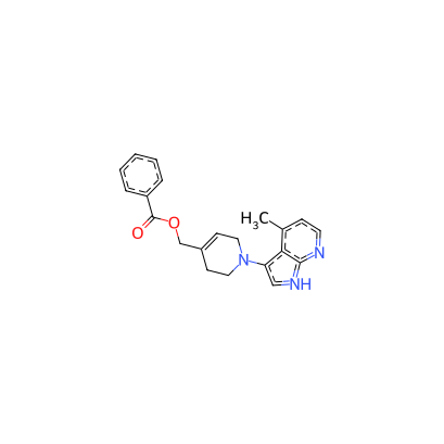 Cc1ccnc2[nH]cc(N3CC=C(COC(=O)c4ccccc4)CC3)c12